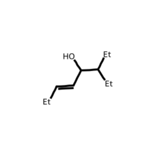 [CH2]CC=CC(O)C(CC)CC